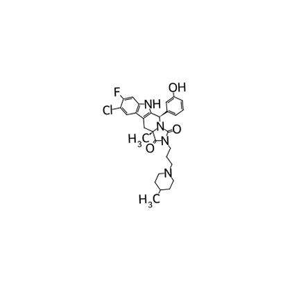 CC1CCN(CCCN2C(=O)N3[C@H](c4cccc(O)c4)c4[nH]c5cc(F)c(Cl)cc5c4C[C@@]3(C)C2=O)CC1